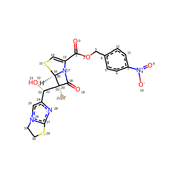 O=C(OCc1ccc([N+](=O)[O-])cc1)C1=CS[C@H]2N1C(=O)[C@@]2(Br)[C@@H](O)c1cn2c(n1)SCC2